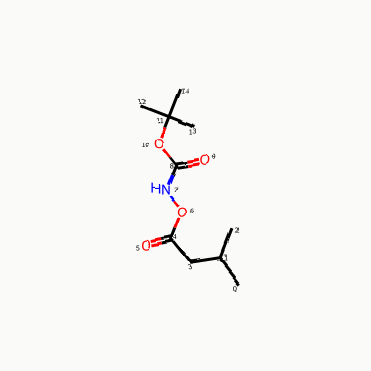 CC(C)CC(=O)ONC(=O)OC(C)(C)C